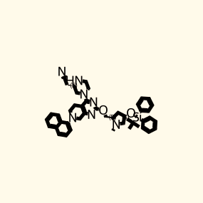 CN1C[C@@H](O[Si](c2ccccc2)(c2ccccc2)C(C)(C)C)C[C@@H]1COc1nc2c(c(N3CCN[C@@H](CC#N)C3)n1)CCN(c1cccc3ccccc13)C2